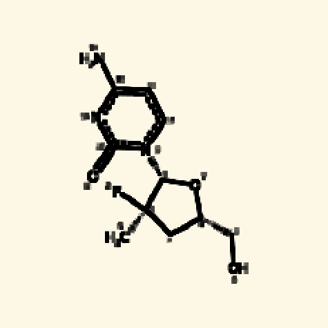 C[C@@]1(F)C[C@@H](CO)O[C@H]1n1ccc(N)nc1=O